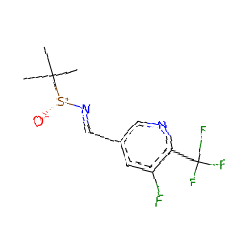 CC(C)(C)[S@@+]([O-])N=Cc1cnc(C(F)(F)F)c(F)c1